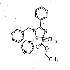 CCOC(=O)[C@@]1(C)N=C(c2ccccc2)N(Cc2ccccc2)[C@H]1c1ccncc1